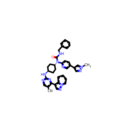 Cn1cc(-c2ccc(N(C(=O)NCc3ccccc3)[C@H]3CC[C@H](Nc4ncc(C#N)c(-c5cnn6ccccc56)n4)CC3)nc2)cn1